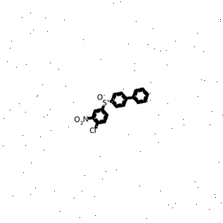 O=[N+]([O-])c1cc([S+]([O-])c2ccc(-c3ccccc3)cc2)ccc1Cl